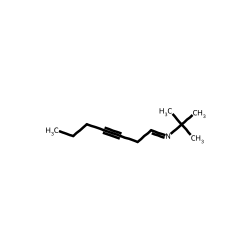 CCCC#CC/C=N/C(C)(C)C